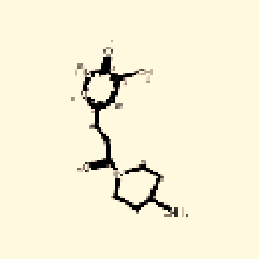 NC1CCN(C(=O)CCc2cc(O)c(=O)[nH]n2)CC1